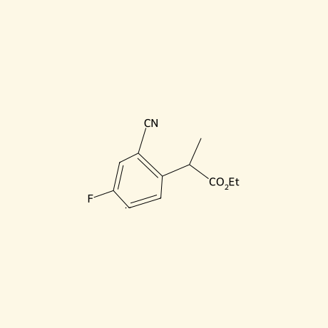 CCOC(=O)C(C)c1c[c]c(F)cc1C#N